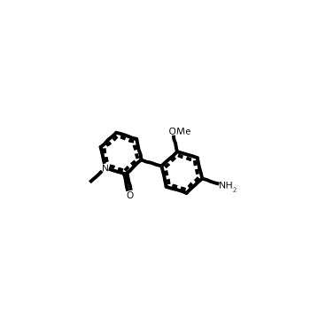 COc1cc(N)ccc1-c1cccn(C)c1=O